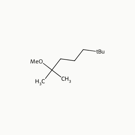 COC(C)(C)CCCC(C)(C)C